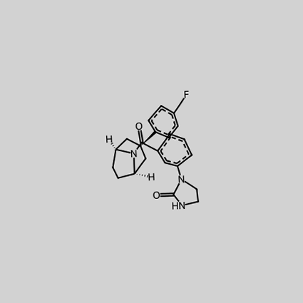 O=C1NCCN1c1cccc(C(=O)N2[C@@H]3CC[C@H]2C[C@@H](c2ccc(F)cc2)C3)c1